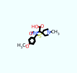 COc1ccc(CSC2(C(NC=O)C(=O)O)CCN(C)CC2)cc1